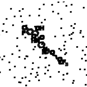 O=C(NC1CCC(n2cc(OCCCOC(F)(F)F)cn2)CC1)[C@H]1C[C@@H](O)c2cc(Cl)c(F)cc2O1